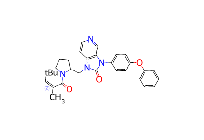 C/C(=C/C(C)(C)C)C(=O)N1CCCC1Cn1c(=O)n(-c2ccc(Oc3ccccc3)cc2)c2cnccc21